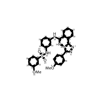 COc1ccc(-c2nnc3c4ccccc4c(Nc4cccc(NS(=O)(=O)c5cccc(OC)c5)c4)nn23)cc1